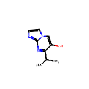 CC(C)c1nc2nccn2cc1O